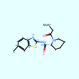 CNCC(=O)N1CCCC[C@@H]1C(=O)Nc1nc2ccc(C)cc2s1